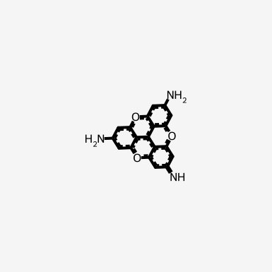 N=c1cc2oc3cc(N)cc4oc5cc(N)cc6oc(c1)c2c(c43)c56